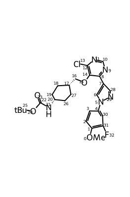 COc1ccc(-n2cc(-c3ncnc(Cl)c3OC[C@H]3CC[C@@H](NC(=O)OC(C)(C)C)CC3)cn2)cc1F